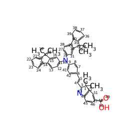 CC1(C)C(/C=C/c2ccc(N(c3ccc4c(c3)C(C)(C)c3ccccc3-4)c3ccc4c(c3)C(C)(C)c3ccccc3-4)cc2)=Nc2ccc(C(=O)O)cc21